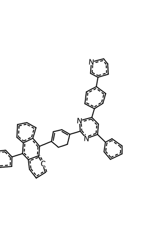 C1=C(c2nc(-c3ccccc3)cc(-c3ccc(-c4cccnc4)cc3)n2)CCC(c2c3ccccc3c(-c3ccccc3)c3ccccc23)=C1